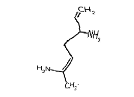 [CH2]C(N)=CCC(N)C=C